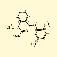 CNC(=O)[C@H](C=O)c1ccccc1COc1cc(C)ccc1C